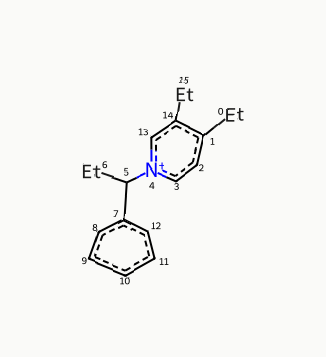 CCc1cc[n+](C(CC)c2ccccc2)cc1CC